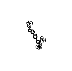 C=C(C)C(=O)OCC1CCc2cc(-c3ccc(-c4ccc(OC(=O)C(=C)C)c(OC(=O)C(=C)C)c4)cc3C)ccc21